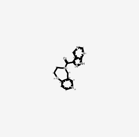 O=C(c1n[nH]c2ncncc12)N1CCOc2ccncc2C1